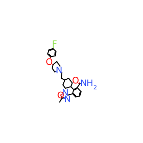 Cc1nc(-c2cccc(C(N)=O)c2C2CCC(CCN3CCC(Oc4ccc(F)cc4)CC3)CC2)no1